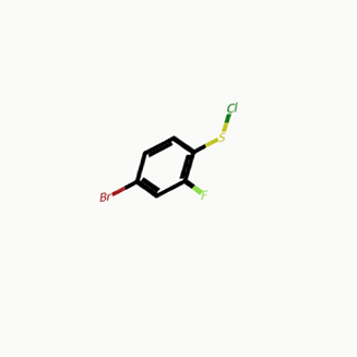 Fc1cc(Br)ccc1SCl